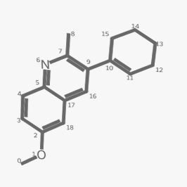 COc1ccc2nc(C)c(C3=CCCCC3)cc2c1